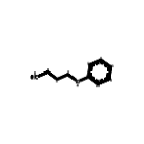 [CH]CCCOc1ccccc1